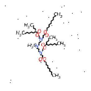 CCCCCCCCCCOC(=O)CCN(CCCN(C)CCCN(CCOC(=O)C(CCCC)CCCCCC)CCC(=O)OCCCCCCCCCC)CCOC(=O)C(CCCC)CCCCCC